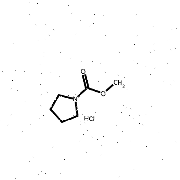 COC(=O)N1CCCC1.Cl